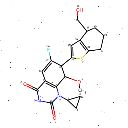 COC1c2c(c(=O)[nH]c(=O)n2C2CC2)C=C(F)C1c1cc2c(s1)CCCC2CO